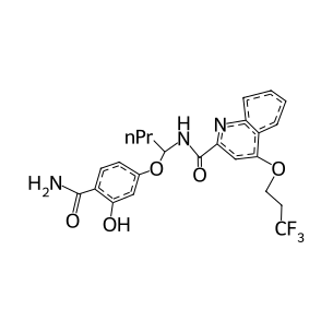 CCCC(NC(=O)c1cc(OCCC(F)(F)F)c2ccccc2n1)Oc1ccc(C(N)=O)c(O)c1